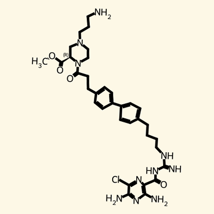 COC(=O)[C@H]1CN(CCCN)CCN1C(=O)CCc1ccc(-c2ccc(CCCCNC(=N)NC(=O)c3nc(Cl)c(N)nc3N)cc2)cc1